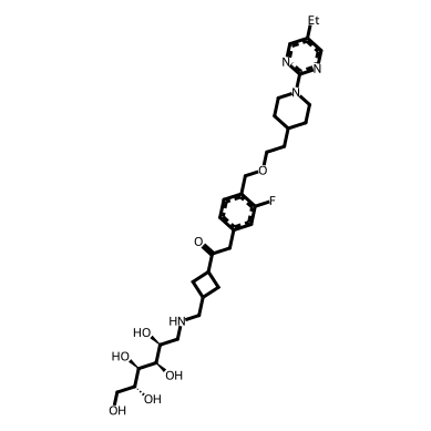 CCc1cnc(N2CCC(CCOCc3ccc(CC(=O)C4CC(CNC[C@H](O)[C@@H](O)[C@H](O)[C@H](O)CO)C4)cc3F)CC2)nc1